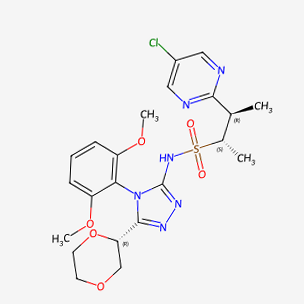 COc1cccc(OC)c1-n1c(NS(=O)(=O)[C@@H](C)[C@H](C)c2ncc(Cl)cn2)nnc1[C@@H]1COCCO1